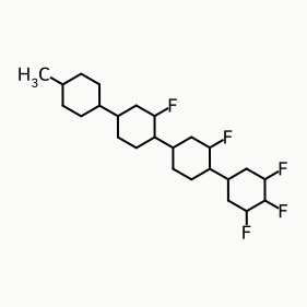 CC1CCC(C2CCC(C3CCC(C4CC(F)C(F)C(F)C4)C(F)C3)C(F)C2)CC1